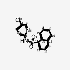 O=S(=O)(Nc1ncc(Cl)cn1)c1cccc2ccccc12